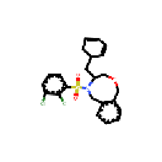 O=S(=O)(c1cccc(Cl)c1Cl)N1Cc2ccccc2COCC1CC1C=CC=CC1